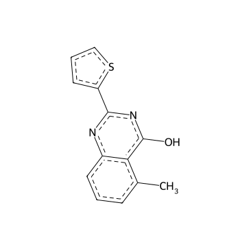 Cc1cccc2nc(-c3cccs3)nc(O)c12